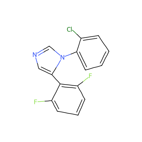 Fc1cccc(F)c1-c1cncn1-c1ccccc1Cl